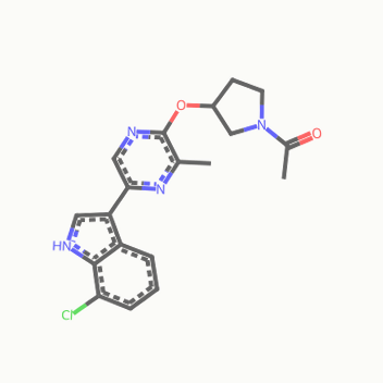 CC(=O)N1CCC(Oc2ncc(-c3c[nH]c4c(Cl)cccc34)nc2C)C1